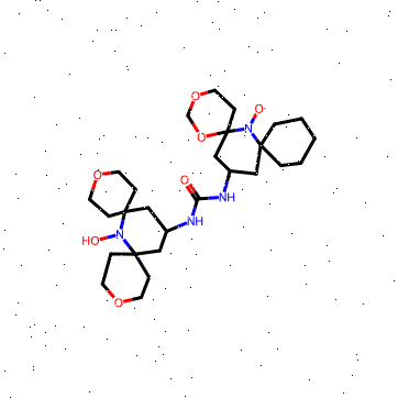 [O]N1C2(CCCCC2)CC(NC(=O)NC2CC3(CCOCC3)N(O)C3(CCOCC3)C2)CC12CCOCO2